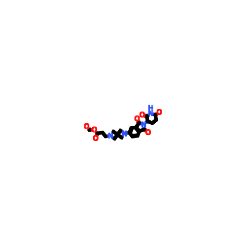 O=COC(=O)CCN1CC2(C1)CN(c1ccc3c(c1)C(=O)N(C1CCC(=O)NC1=O)C3=O)C2